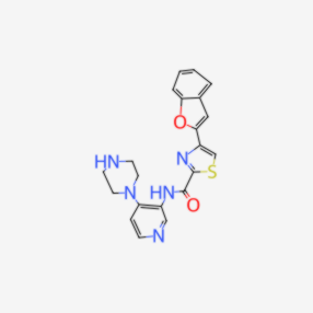 O=C(Nc1cnccc1N1CCNCC1)c1nc(-c2cc3ccccc3o2)cs1